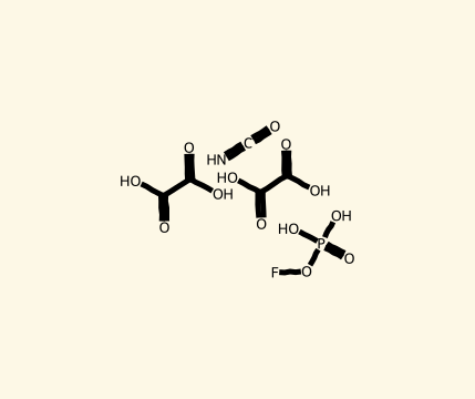 N=C=O.O=C(O)C(=O)O.O=C(O)C(=O)O.O=P(O)(O)OF